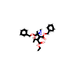 CCOC(=O)C(C(C)=O)=C(C(=O)OCc1ccccc1)C(C)(NC)C(=O)OCc1ccccc1